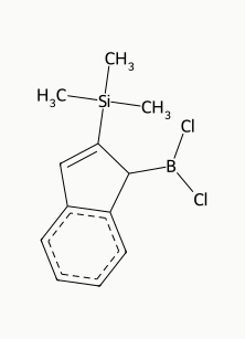 C[Si](C)(C)C1=Cc2ccccc2C1B(Cl)Cl